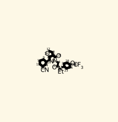 CCN(C(=O)Cn1nc(-c2cccc(C#N)c2)c2occc2c1=O)c1ccc(OC(F)(F)F)cc1